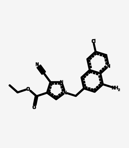 CCOC(=O)c1cn(Cc2cc(N)c3ncc(Cl)cc3c2)nc1C#N